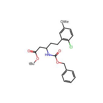 COc1ccc(Cl)c(CCC(CC(=O)OC(C)(C)C)NC(=O)OCc2ccccc2)c1